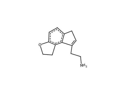 NCCC1=CCc2ccc3c(c21)CCO3